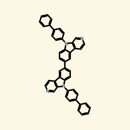 c1ccc(-c2ccc(-n3c4ccc(-c5ccc6c(c5)c5ccncc5n6-c5ccc(-c6ccccc6)cc5)cc4c4ccncc43)cc2)cc1